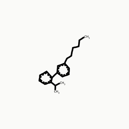 CCCCCCc1cc[c]c(-c2ccccc2C(C)C)c1